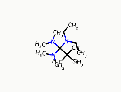 CCN(CC)C(N(C)C)(N(C)C)C(C)(C)[SiH3]